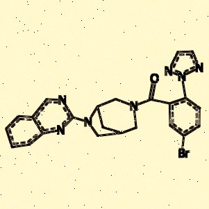 O=C(c1cc(Br)ccc1-n1nccn1)N1CC2CC(C1)N(c1ncc3ccccc3n1)C2